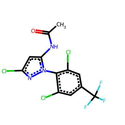 CC(=O)Nc1cc(Cl)nn1-c1c(Cl)cc(C(F)(F)F)cc1Cl